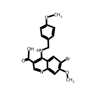 COc1ccc(CNc2c(C(=O)O)cnc3cc(OC)c(Br)cc23)cc1